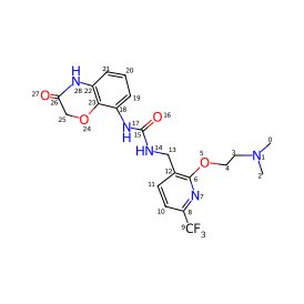 CN(C)CCOc1nc(C(F)(F)F)ccc1CNC(=O)Nc1cccc2c1OCC(=O)N2